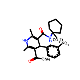 CCOC(=O)C1(NC(=O)C2=C(C)NC(C)=C(C(=O)OC)C2c2cccc([N+](=O)[O-])c2)CCCCC1